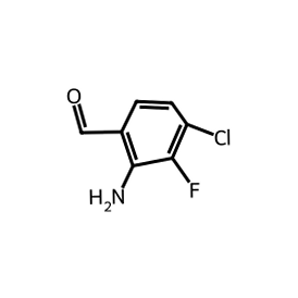 Nc1c(C=O)ccc(Cl)c1F